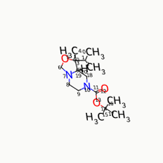 CC(C)[C@@]1(C)OCN2CCN(C(=O)OC(C)(C)C)C[C@H]21